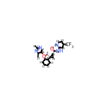 Cc1ncc(OC[C@@]2(c3ccccc3)C[C@H]2C(=O)Nc2cc(C(F)(F)F)ccn2)c(C)n1